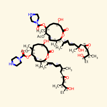 CC[C@@H](O)[C@@H](C)[C@H]1O[C@@H]1C[C@](C)(O)/C=C/C=C(\C)[C@H]1OC(=O)C[C@@H](O)CC[C@](C)(OC(=O)N2CCNCC2)[C@H](OC(C)=O)/C=C/[C@@H]1C.CC[C@H](O)[C@@H](C)[C@H]1O[C@@H]1C[C@H](C)/C=C/C=C(\C)[C@H]1OC(=O)C[C@H](O)CC[C@@](C)(OC(C)=O)[C@H](OC(=O)N2CCNCC2)/C=C/[C@@H]1C